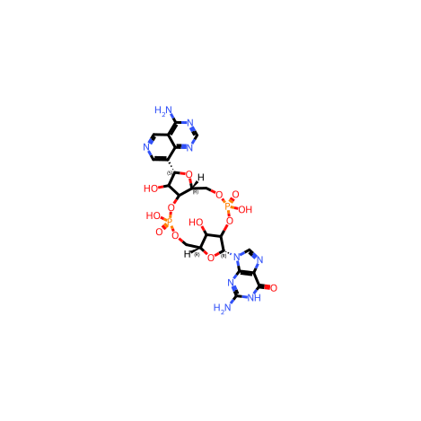 Nc1nc2c(ncn2[C@@H]2O[C@@H]3COP(=O)(O)OC4C(O)[C@H](c5cncc6c(N)ncnc56)O[C@@H]4COP(=O)(O)OC2C3O)c(=O)[nH]1